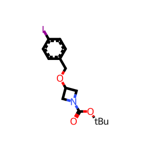 CC(C)(C)OC(=O)N1CC(OCc2ccc(I)cc2)C1